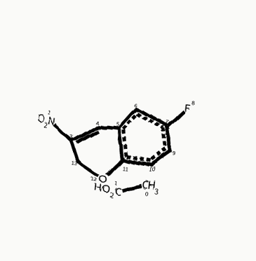 CC(=O)O.O=[N+]([O-])C1=Cc2cc(F)ccc2OC1